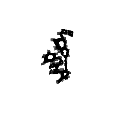 Cc1nsc(C#Cc2ccc3cc(CC=O)ccc3c2)c1NC(=O)OCc1ccccc1